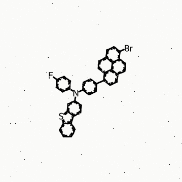 Fc1ccc(N(c2ccc(-c3ccc4ccc5c(Br)ccc6ccc3c4c65)cc2)c2ccc3c(c2)sc2ccccc23)cc1